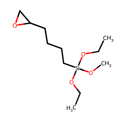 CCO[Si](CCCCC1CO1)(OC)OCC